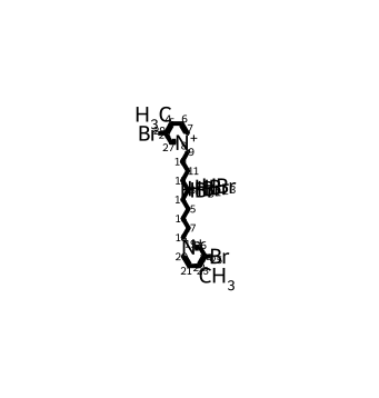 Br.Br.Br.Br.Cc1cc[n+](CCCCCCCCCC[n+]2ccc(C)c(Br)c2)cc1Br